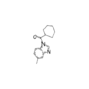 Cc1ccc2c(c1)ncn2C(=O)C1CCCCC1